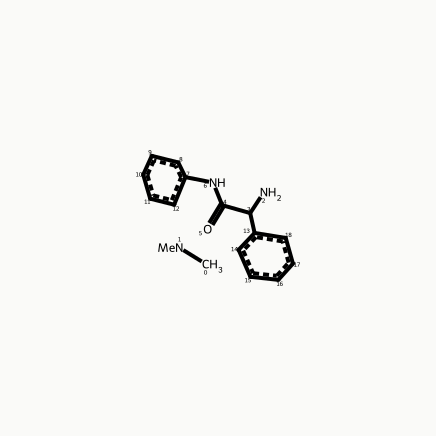 CNC.NC(C(=O)Nc1ccccc1)c1ccccc1